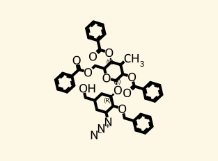 CC1C(OC(=O)c2ccccc2)[C@H](O[C@@H]2CC(CO)CC(N=[N+]=[N-])C2OCc2ccccc2)OC(COC(=O)c2ccccc2)[C@@H]1OC(=O)c1ccccc1